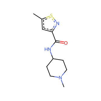 Cc1cc(C(=O)NC2CCN(C)CC2)ns1